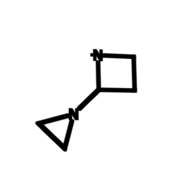 C1CC(N2CC2)[N]1